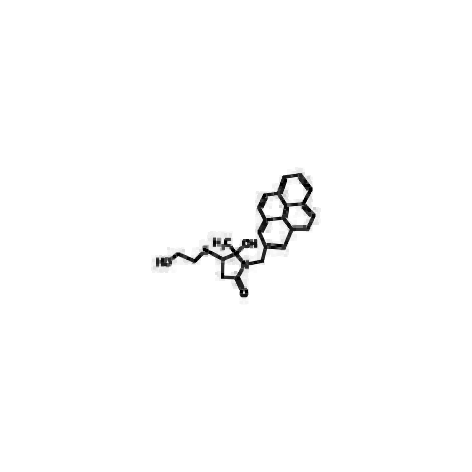 CC1(O)C(SCCO)CC(=O)N1Cc1cc2ccc3cccc4ccc(c1)c2c34